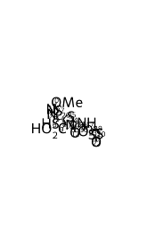 COc1nnc(C(S)C2=C(C(=O)O)N3C(=O)C(NC(=O)Cc4csc(=O)s4)C3SC2)s1